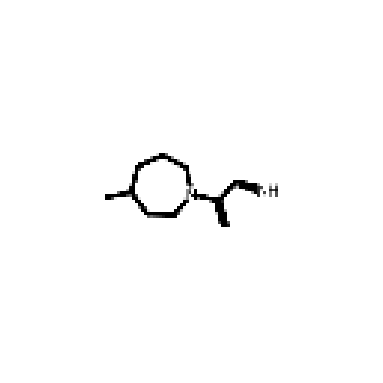 C=C(C=N)N1CCCC(C)CC1